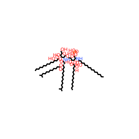 CCCCCCCCCCCCC[C@@H](O)CC(=O)NC1C(OC(=O)[C@H](O)CCCCCCCCCCCC)[C@H](O)C(CO[C@@H]2OC(CO)[C@@H](O)C(OC(=O)C[C@H](O)CCCCCCCCCCC)C2NC(=O)C[C@@H](CCCCCCCCCCCC(C)C)OC(=O)CCCCCCCCCC(C)C)O[C@@H]1OP(=O)(O)O